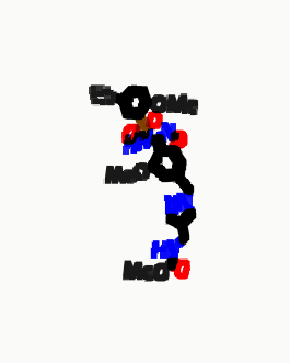 CCc1ccc(OC)c(S(=O)(=O)Nc2noc3cc(Cn4cc(CNC(=O)OC)cn4)cc(OC)c23)c1